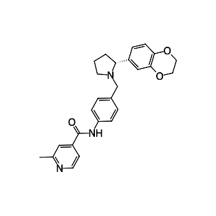 Cc1cc(C(=O)Nc2ccc(CN3CCC[C@@H]3c3ccc4c(c3)OCCO4)cc2)ccn1